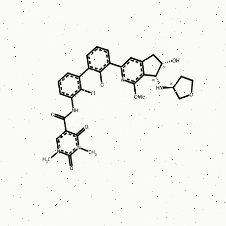 COc1nc(-c2cccc(-c3cccc(NC(=O)c4cn(C)c(=O)n(C)c4=O)c3Cl)c2Cl)cc2c1[C@@H](N[C@H]1CCOC1)[C@@H](O)C2